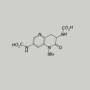 CC(C)(C)N1C(=O)C(NC(=O)O)Cc2ncc(NC(=O)O)cc21